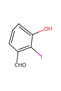 O=Cc1cccc(O)c1I